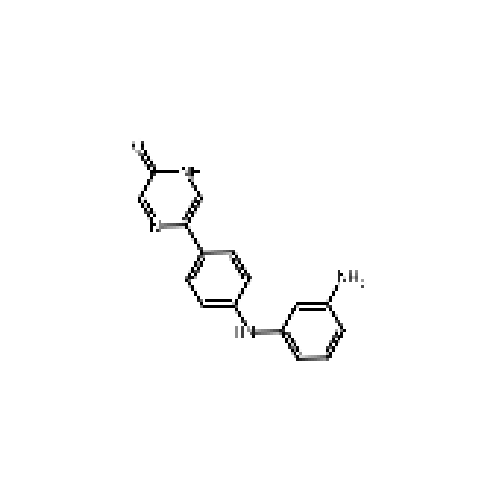 Nc1cccc(Nc2ccc(-c3c[nH]c(=O)cn3)cc2)c1